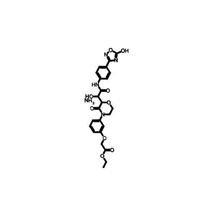 CCOC(=O)COc1cccc(N2CCOC(C(O)C(=O)Nc3ccc(-c4noc(O)n4)cc3)C2=O)c1.N